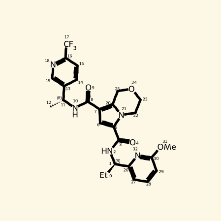 CC[C@@H](NC(=O)c1cc(C(=O)N[C@H](C)c2ccc(C(F)(F)F)nc2)c2n1CCOC2)c1cccc(OC)n1